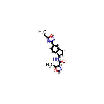 CCc1nc(-c2ccc3c(c2)CC[C@H]3NC(=O)c2ncoc2C)no1